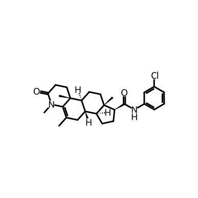 CC1=C2N(C)C(=O)CC[C@]2(C)[C@H]2CC[C@]3(C)[C@@H](C(=O)Nc4cccc(Cl)c4)CC[C@H]3[C@@H]2C1